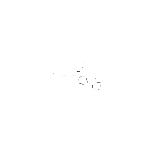 CC(C)(C)Cc1cn(CCN[S+]([O-])C2CC2)c2ccc(-c3cccc(F)c3Cl)cc12